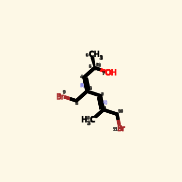 C/C(=C\C(=C/[C@@H](C)O)CBr)CBr